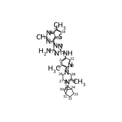 Cc1cc(Nc2nc(N)n(-c3nc(Cl)nc4c(C)csc34)n2)cnc1N1CCN([C@H]2CC3CCC2C3)[C@@H](C)C1